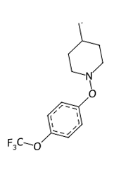 [CH2]C1CCN(Oc2ccc(OC(F)(F)F)cc2)CC1